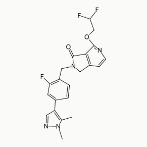 Cc1c(-c2ccc(CN3Cc4ccnc(OCC(F)F)c4C3=O)c(F)c2)cnn1C